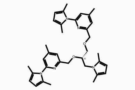 Cc1cc(COC[C@H](Cn2c(C)ccc2C)OCc2cc(C)cc(-n3c(C)ccc3C)n2)nc(-n2c(C)ccc2C)c1